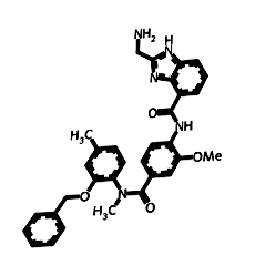 COc1cc(C(=O)N(C)c2ccc(C)cc2OCc2ccccc2)ccc1NC(=O)c1cccc2[nH]c(CN)nc12